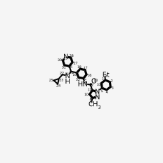 CCc1cccc(-n2nc(C)cc2C(=O)Nc2cccc(C(NCC3CC3)c3ccncc3)c2)c1